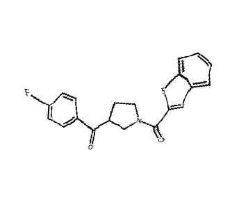 O=C(c1ccc(F)cc1)C1CCN(C(=O)c2cc3ccccc3s2)C1